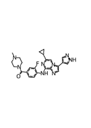 CN1CCN(C(=O)c2ccc(Nc3nc(C4CC4)cn4c(-c5cn[nH]c5)cnc34)c(F)c2)CC1